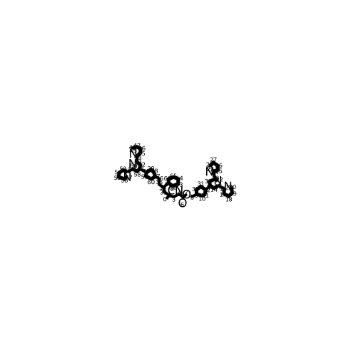 CC(C#N)(CCC(=O)OCc1ccc(-c2cc(-c3ccccn3)nc(-c3ccccn3)c2)cc1)CC(CCc1ccc(-c2cc(-c3ccccn3)nc(-c3ccccn3)c2)cc1)c1ccccc1